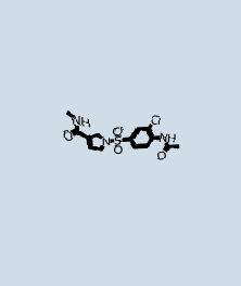 CNC(=O)C1=CCN(S(=O)(=O)c2ccc(NC(C)=O)c(Cl)c2)C1